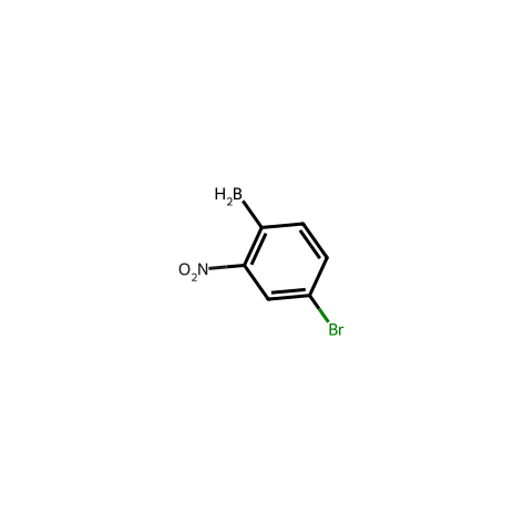 Bc1ccc(Br)cc1[N+](=O)[O-]